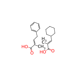 C/C(=C\C1CCCCC1)C(=O)O.C/C(=C\Cc1ccccc1)C(=O)O